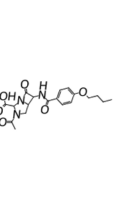 CCCCOc1ccc(C(=O)NC2C(=O)N3C2CN(C(C)=O)C3C(=O)O)cc1